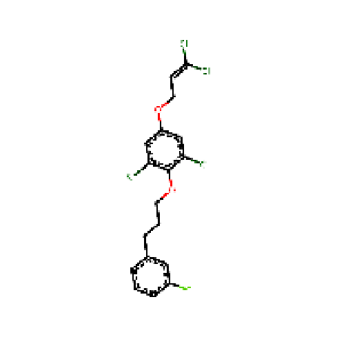 Fc1cccc(CCCOc2c(Cl)cc(OCC=C(Cl)Cl)cc2Cl)c1